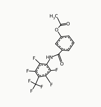 CC(=O)Oc1cccc(C(=O)Nc2c(F)c(F)c(C(F)(F)F)c(F)c2F)c1